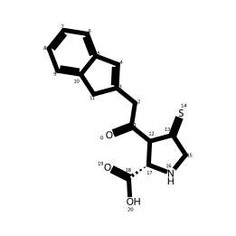 O=C(CC1=Cc2ccccc2C1)C1C(=S)CN[C@@H]1C(=O)O